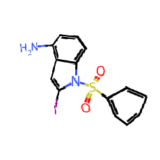 Nc1cccc2c1cc(I)n2S(=O)(=O)c1ccccc1